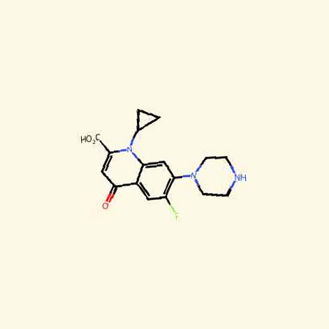 O=C(O)c1cc(=O)c2cc(F)c(N3CCNCC3)cc2n1C1CC1